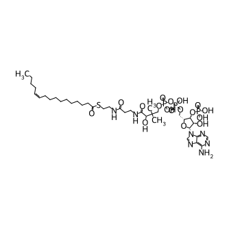 CCCC/C=C\CCCCCCCCCC(=O)SCCNC(=O)CCNC(=O)C(O)C(C)(C)COP(=O)(O)OP(=O)(O)OC[C@H]1O[C@@H](n2cnc3c(N)ncnc32)[C@H](O)[C@@H]1OP(=O)(O)O